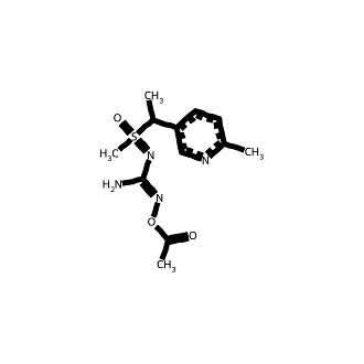 CC(=O)O/N=C(\N)N=S(C)(=O)C(C)c1ccc(C)nc1